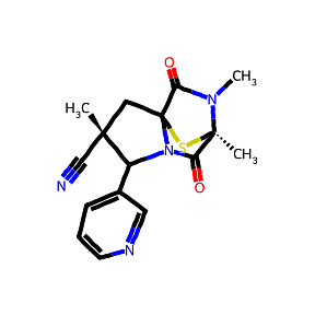 CN1C(=O)C23C[C@@](C)(C#N)C(c4cccnc4)N2C(=O)[C@@]1(C)S3